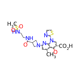 Cc1cc(N2CC(C(=O)NCCNS(C)(=O)=O)C2)nc2c1c(=O)c(C(=O)O)cn2-c1nccs1